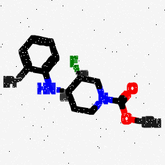 CC(C)c1ccccc1N[C@H]1CCN(C(=O)OC(C)(C)C)C[C@H]1F